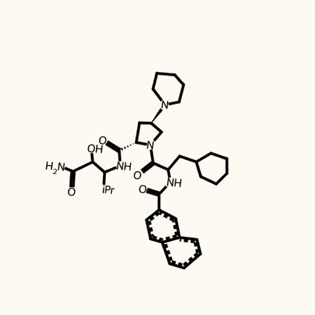 CC(C)C(NC(=O)[C@@H]1C[C@@H](N2CCCCC2)CN1C(=O)C(CC1CCCCC1)NC(=O)c1ccc2ccccc2c1)C(O)C(N)=O